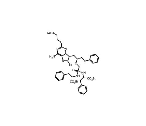 CCOC(=O)[C@H](Cc1ccccc1)NP(=O)(CO[C@H](COc1ccccc1)Cn1c(O)nc2c(N)nc(OCCOC)nc21)N[C@@H](Cc1ccccc1)C(=O)OCC